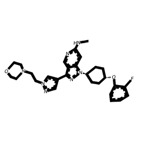 CNc1cc2c(cn1)c(-c1cnn(CCN3CCOCC3)c1)nn2[C@H]1CC[C@@H](Oc2ccccc2F)CC1